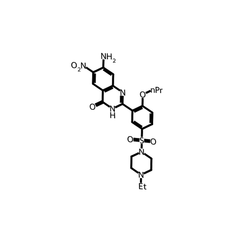 CCCOc1ccc(S(=O)(=O)N2CCN(CC)CC2)cc1-c1nc2cc(N)c([N+](=O)[O-])cc2c(=O)[nH]1